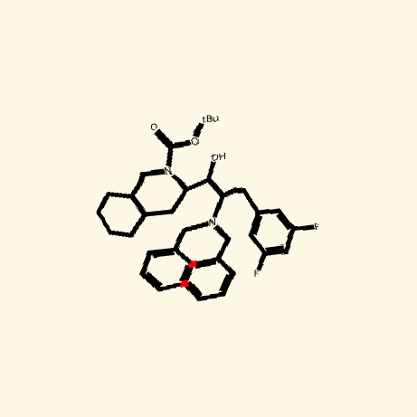 CC(C)(C)OC(=O)N1CC2CCCCC2CC1C(O)C(Cc1cc(F)cc(F)c1)N(Cc1ccccc1)Cc1ccccc1